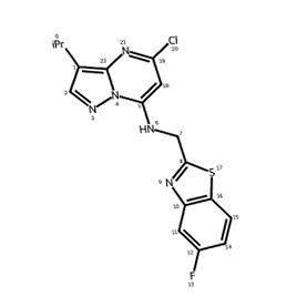 CC(C)c1cnn2c(NCc3nc4cc(F)ccc4s3)cc(Cl)nc12